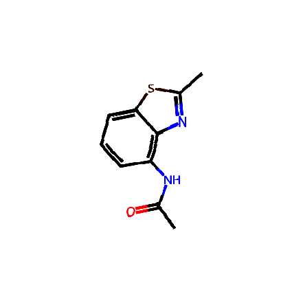 CC(=O)Nc1cccc2sc(C)nc12